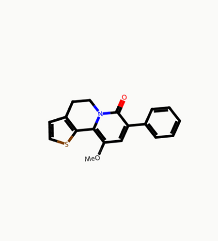 COc1cc(-c2ccccc2)c(=O)n2c1-c1sccc1CC2